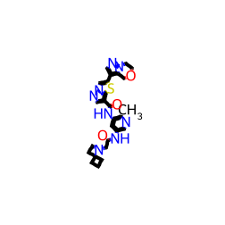 Cc1ncc(NC(=O)CN2CCC23CCC3)cc1NC(=O)c1cnn2cc(-c3cnn4c3COCC4)sc12